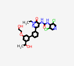 C=C(O)c1cc(OCCO)cc(-c2cccc(-c3cc(NC(=O)Nc4c(Cl)cncc4Cl)c(=O)n(CC)n3)c2)c1